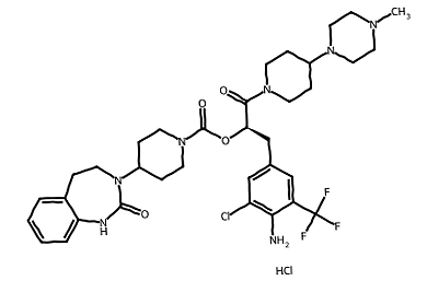 CN1CCN(C2CCN(C(=O)[C@@H](Cc3cc(Cl)c(N)c(C(F)(F)F)c3)OC(=O)N3CCC(N4CCc5ccccc5NC4=O)CC3)CC2)CC1.Cl